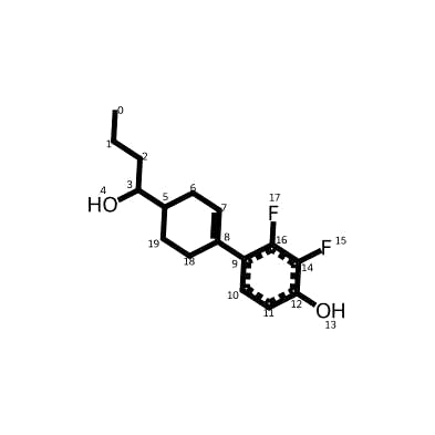 CCCC(O)C1CC=C(c2ccc(O)c(F)c2F)CC1